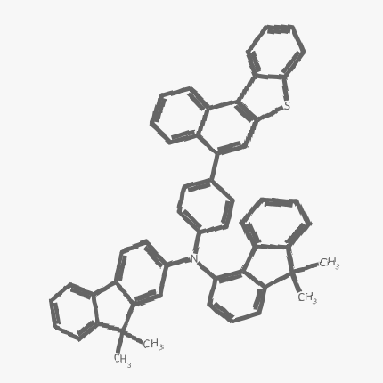 CC1(C)c2ccccc2-c2ccc(N(c3ccc(-c4cc5sc6ccccc6c5c5ccccc45)cc3)c3cccc4c3-c3ccccc3C4(C)C)cc21